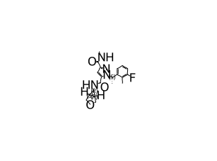 CNC(=O)c1cc(C(=O)N[C@H]2[C@@H]3COC[C@@H]32)n([C@@H](C)c2cccc(F)c2C)n1